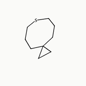 C1CSCCCC2(C1)CC2